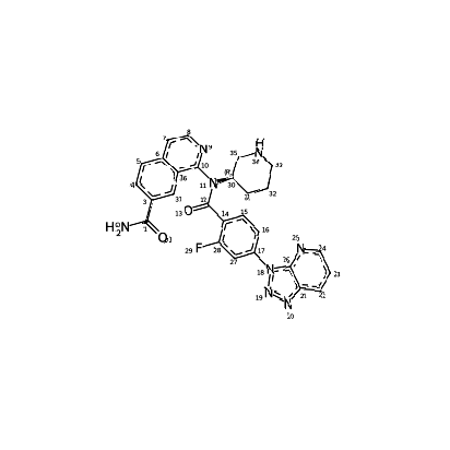 NC(=O)c1ccc2ccnc(N(C(=O)c3ccc(-n4nnc5cccnc54)cc3F)[C@@H]3CCCNC3)c2c1